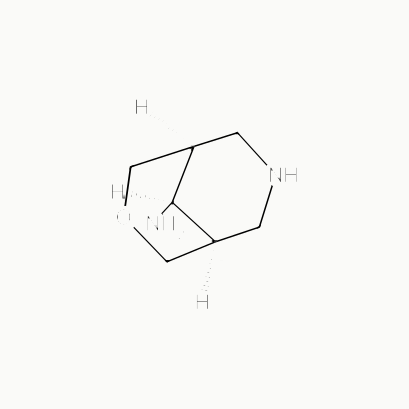 N[C@H]1[C@@H]2CNC[C@H]1COC2